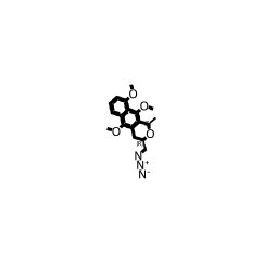 COc1c2c(c(OC)c3c(OC)cccc13)[C@@H](C)O[C@@H](CN=[N+]=[N-])C2